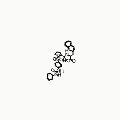 O=C(Nc1ccccc1)Nc1ccc(S(=O)(=O)N2CCC[C@H]2C(=O)N[C@@H](Cc2ccc3ccccc3c2)C(=O)O)cc1